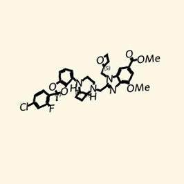 COC(=O)c1cc(OC)c2nc(CN3CCN(c4cccc5c4O[C@](C)(c4ccc(Cl)cc4F)O5)[C@@H]4CC[C@H]43)n(C[C@@H]3CCO3)c2c1